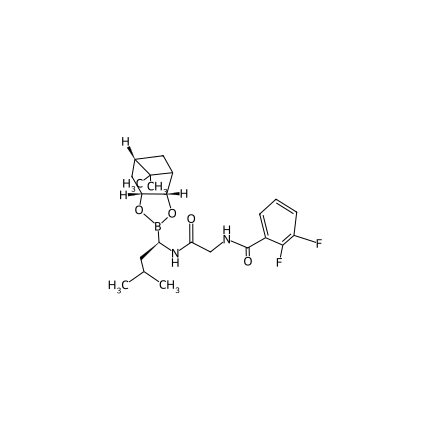 CC(C)C[C@H](NC(=O)CNC(=O)c1cccc(F)c1F)B1O[C@@H]2C[C@@H]3CC([C@@H]2O1)C3(C)C